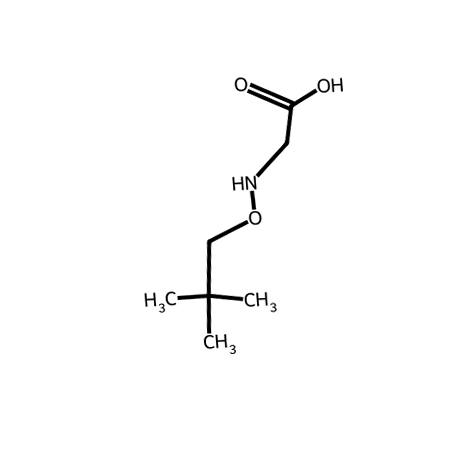 CC(C)(C)CONCC(=O)O